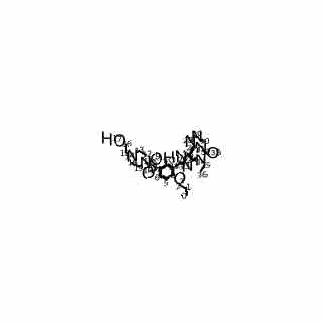 CCCOc1ccc(S(=O)(=O)N2CCN(CCO)CC2)cc1-c1nc2c([nH]1)c1nncn1c(=O)n2CC